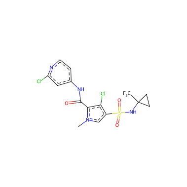 Cn1cc(S(=O)(=O)NC2(C(F)(F)F)CC2)c(Cl)c1C(=O)Nc1ccnc(Cl)c1